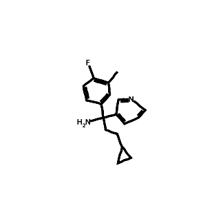 Cc1cc(C(N)(CCC2CC2)c2cccnc2)ccc1F